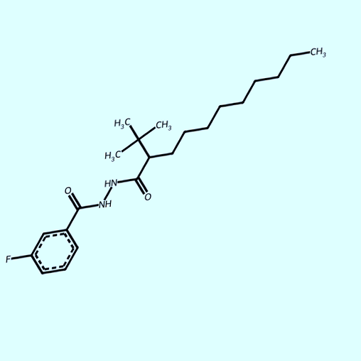 CCCCCCCCCC(C(=O)NNC(=O)c1cccc(F)c1)C(C)(C)C